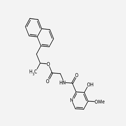 COc1ccnc(C(=O)NCC(=O)OC(C)Cc2cccc3ccccc23)c1O